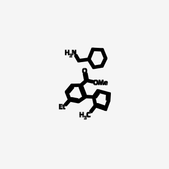 CCc1ccc(C(=O)OC)c(-c2ccccc2C)c1.NCC1CCCCC1